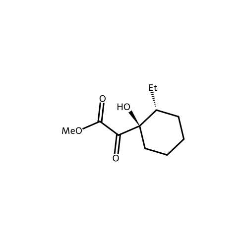 CC[C@@H]1CCCC[C@]1(O)C(=O)C(=O)OC